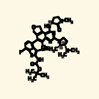 C[C@H]1[C@@H](N(C)C)CCN1c1nc(N[C@@H]2CCN(C)C2=O)c2c3c(c(-c4ccc(F)c5sc(NC(=O)OC(C)(C)C)c(C#N)c45)c(Cl)c2n1)COC3